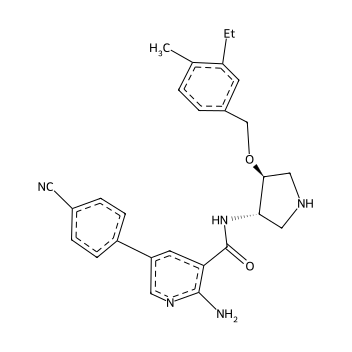 CCc1cc(CO[C@H]2CNC[C@@H]2NC(=O)c2cc(-c3ccc(C#N)cc3)cnc2N)ccc1C